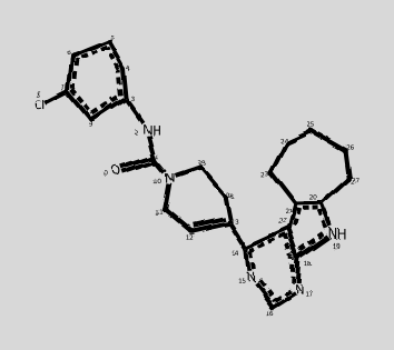 O=C(Nc1cccc(Cl)c1)N1CC=C(c2ncnc3[nH]c4c(c23)CCCCC4)CC1